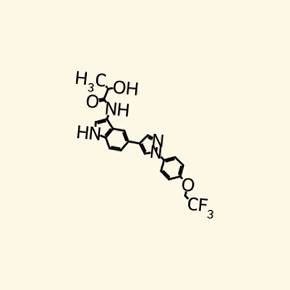 C[C@@H](O)C(=O)Nc1c[nH]c2ccc(-c3cnn(-c4ccc(OCC(F)(F)F)cc4)c3)cc12